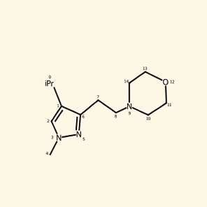 CC(C)c1cn(C)nc1CCN1CCOCC1